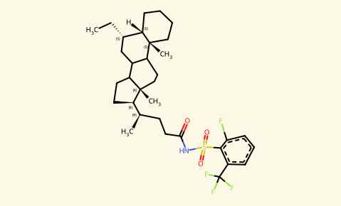 CC[C@H]1CC2C3CC[C@H]([C@H](C)CCC(=O)NS(=O)(=O)c4c(F)cccc4C(F)(F)F)[C@@]3(C)CCC2[C@@]2(C)CCCC[C@@H]12